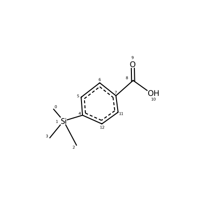 C[Si](C)(C)c1ccc(C(=O)O)cc1